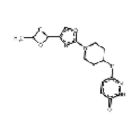 CC1OC(c2coc(N3CCC(Oc4ccc(=O)[nH]n4)CC3)n2)O1